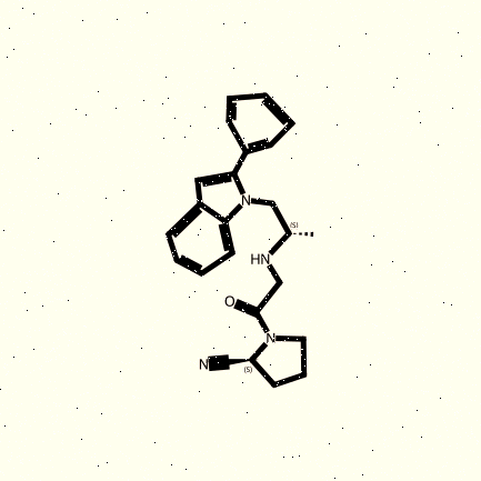 C[C@@H](Cn1c(-c2ccccc2)cc2ccccc21)NCC(=O)N1CCC[C@H]1C#N